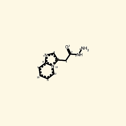 NNC(=O)Cc1cnc2ccccn12